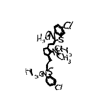 CN(C)C1=C(/C=C/C2Sc3cc(Cl)ccc3N2C)CC/C1=C\C=C1/Sc2cc(Cl)ccc2N1C